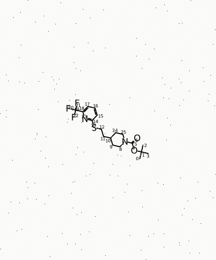 CC(C)(C)OC(=O)N1CCC(CCSc2cccc(C(F)(F)F)n2)CC1